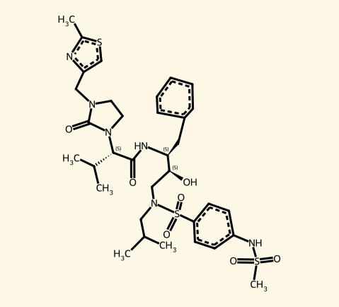 Cc1nc(CN2CCN([C@H](C(=O)N[C@@H](Cc3ccccc3)[C@@H](O)CN(CC(C)C)S(=O)(=O)c3ccc(NS(C)(=O)=O)cc3)C(C)C)C2=O)cs1